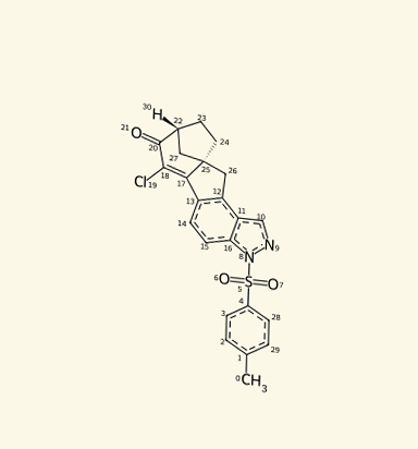 Cc1ccc(S(=O)(=O)n2ncc3c4c(ccc32)C2=C(Cl)C(=O)[C@@H]3CC[C@@]2(C4)C3)cc1